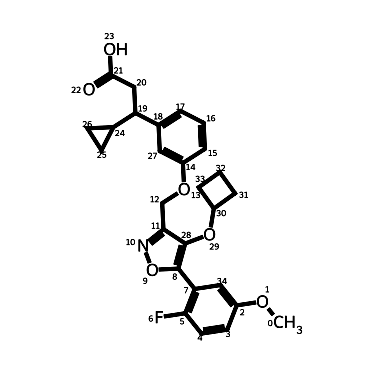 COc1ccc(F)c(-c2onc(COc3cccc(C(CC(=O)O)C4CC4)c3)c2OC2CCC2)c1